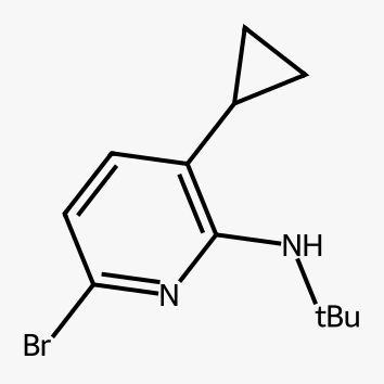 CC(C)(C)Nc1nc(Br)ccc1C1CC1